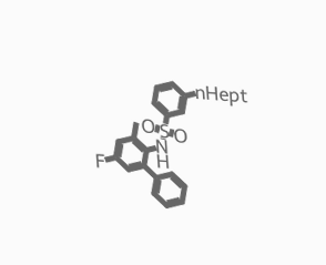 CCCCCCCc1cccc(S(=O)(=O)Nc2c(C)cc(F)cc2-c2ccccc2)c1